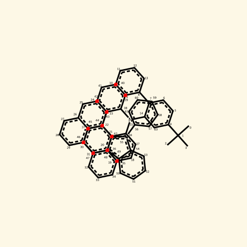 CC(C)(C)c1ccc(-c2ccccc2)c(N(c2ccccc2-c2cccc3cccc(-c4ccccc4)c23)c2ccccc2-c2cccc3c4ccccc4n(-c4ccccc4)c23)c1